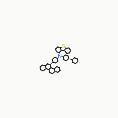 c1ccc(-c2ccc(N(c3ccc(-c4cc5ccccc5c5ccc6ccccc6c45)cc3)c3cccc4sc5ccccc5c34)cc2)cc1